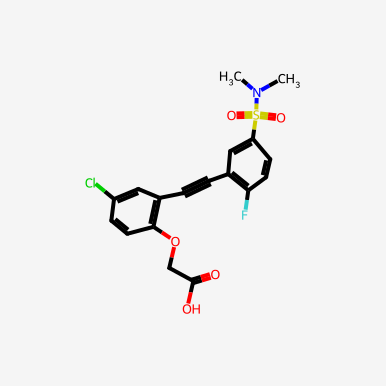 CN(C)S(=O)(=O)c1ccc(F)c(C#Cc2cc(Cl)ccc2OCC(=O)O)c1